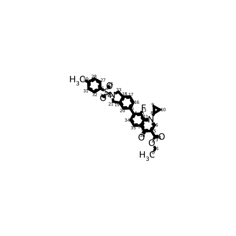 CCOC(=O)c1cn(C2CC2)c2c(F)c(-c3ccc4c(c3)CN(S(=O)(=O)c3ccc(C)cc3)C4)ccc2c1=O